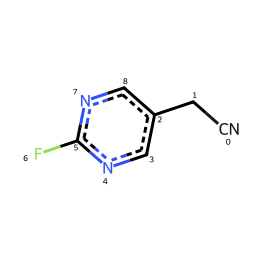 N#CCc1cnc(F)nc1